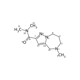 CN1CCCn2nc(C(=O)N(C)C)cc2C1